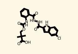 CC(C)(COC(=O)Nc1ccccc1C(=O)NNC(=O)c1cc2cc(Cl)ccc2[nH]1)C(=O)O